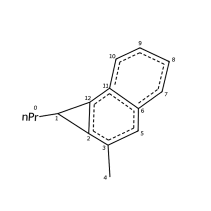 CCCC1c2c(C)cc3ccccc3c21